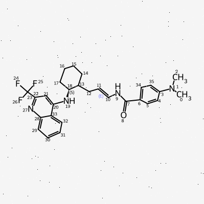 CN(C)c1ccc(C(=O)N/C=C/CC2CCCC[C@@H]2Nc2cc(C(F)(F)F)nc3ccccc23)cc1